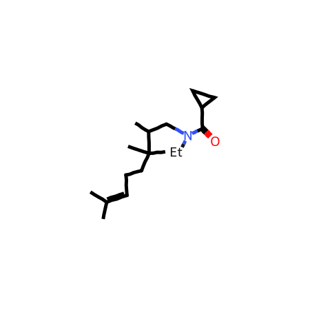 CCN(CC(C)C(C)(C)CCC=C(C)C)C(=O)C1CC1